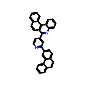 c1ccc2c(c1)ccc1ccc(-c3cc(-c4nc5ccccc5c5c4ccc4ccccc45)ccn3)cc12